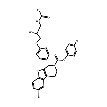 CCC(=O)NCC(O)COc1ccc([C@H]2c3[nH]c4ccc(Cl)cc4c3CCN2C(=O)Oc2ccc(Cl)cc2)cc1